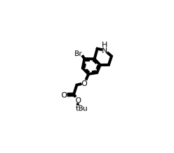 CC(C)(C)OC(=O)COc1cc(Br)c2c(c1)CCNC2